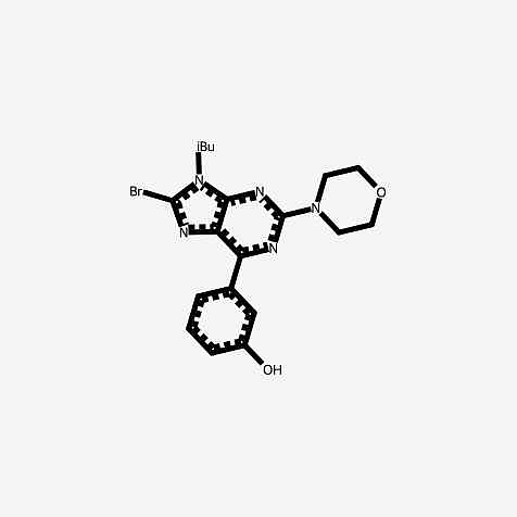 CCC(C)n1c(Br)nc2c(-c3cccc(O)c3)nc(N3CCOCC3)nc21